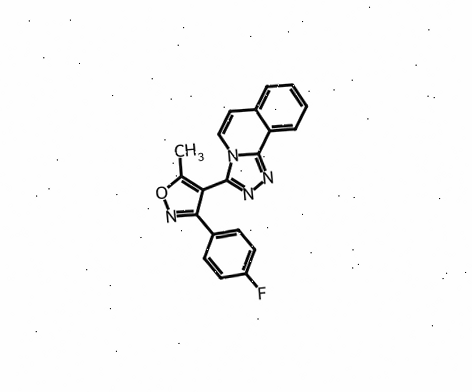 Cc1onc(-c2ccc(F)cc2)c1-c1nnc2c3ccccc3ccn12